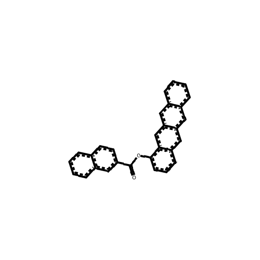 O=C(Oc1cccc2cc3cc4ccccc4cc3cc12)c1ccc2ccccc2c1